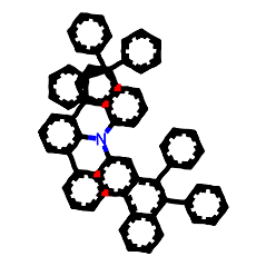 c1ccc(-c2cccc(-c3ccccc3)c2N(c2ccc3c(c2)c(-c2ccccc2)c(-c2ccccc2)c2ccccc23)c2cccc3c2-c2ccccc2C3(c2ccccc2)c2ccccc2)cc1